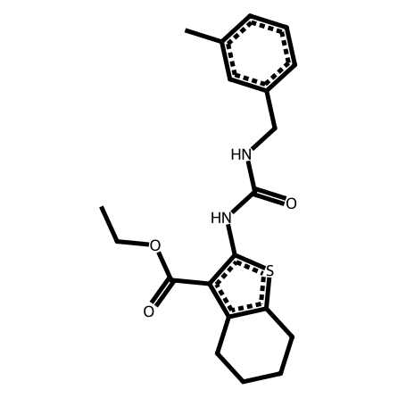 CCOC(=O)c1c(NC(=O)NCc2cccc(C)c2)sc2c1CCCC2